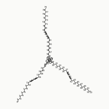 CCCCCCCCCCCCC#CC#CCCCCCCCCCOP(=O)(OCCCCCCCCCC#CC#CCCCCCCCCCCCC)OCCCCCCCCCC#CC#CCCCCCCCCCCCC